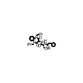 CC(C)CN1C(=O)C(NC(=O)[C@H](CO)NC(=O)CC2CCCC2)C(=O)N(CC(C)C)c2ccccc21